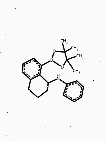 CC1(C)OB(c2cccc3c2C(Nc2ccccc2)CCC3)OC1(C)C